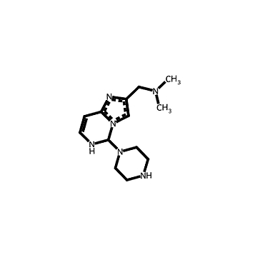 CN(C)Cc1cn2c(n1)C=CNC2N1CCNCC1